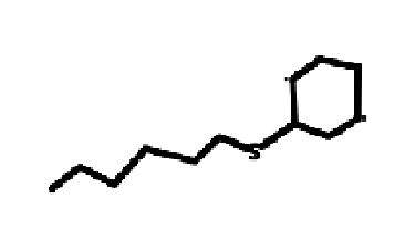 CCCCCCSC1[CH]CC[CH]C1